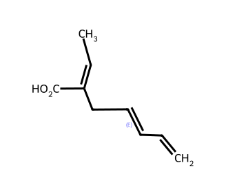 C=C/C=C/CC(=CC)C(=O)O